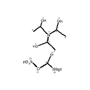 CC(O)N(C(C)O)C(C)O.CCCCCCCC(CC)OS(=O)(=O)O